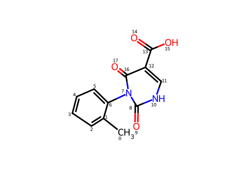 Cc1ccccc1-n1c(=O)[nH]cc(C(=O)O)c1=O